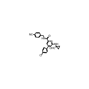 N#Cc1ccc(CNC(=O)c2cc(-c3ccc(Cl)cc3)cc(NC3(C=O)CC3)n2)cc1